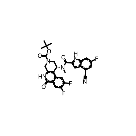 CN(C(=O)c1cc2c(C#N)cc(F)cc2[nH]1)[C@H]1CN(C(=O)OC(C)(C)C)Cc2[nH]c(=O)c3cc(F)c(F)cc3c21